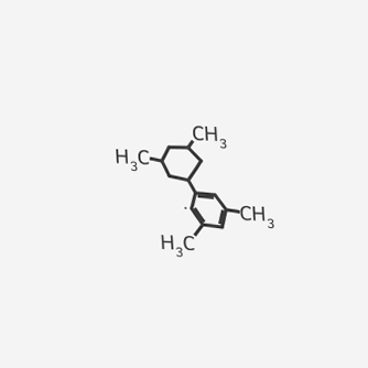 Cc1[c]c(C2CC(C)CC(C)C2)cc(C)c1